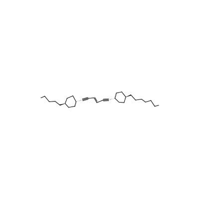 CCCCCCC[C@H]1CC[C@H](C#C/C=C/C#C[C@H]2CC[C@H](CCCCC)CC2)CC1